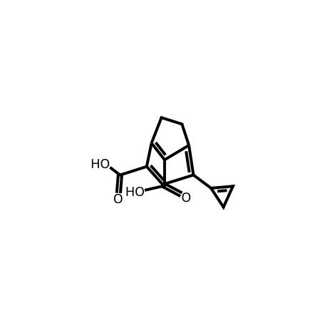 O=C(O)c1cc(C2=CC2)c2c(C(=O)O)c1CC2